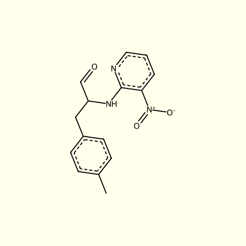 Cc1ccc(CC(C=O)Nc2ncccc2[N+](=O)[O-])cc1